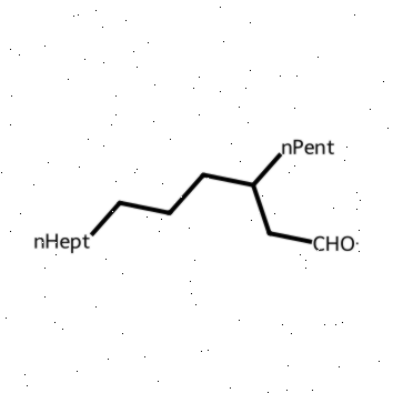 CCCCCCCCCCC(C[C]=O)CCCCC